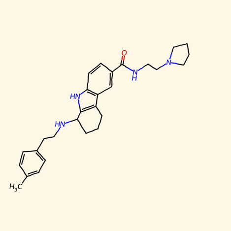 Cc1ccc(CCNC2CCCc3c2[nH]c2ccc(C(=O)NCCN4CCCC4)cc32)cc1